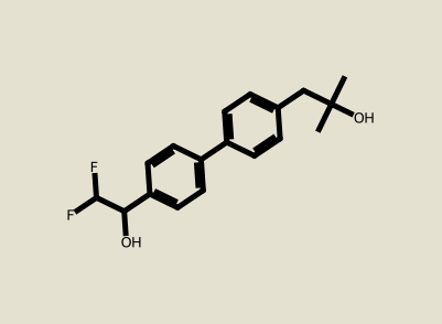 CC(C)(O)Cc1ccc(-c2ccc(C(O)C(F)F)cc2)cc1